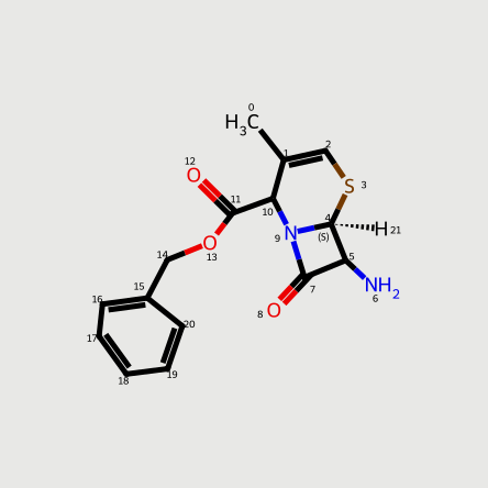 CC1=CS[C@H]2C(N)C(=O)N2C1C(=O)OCc1ccccc1